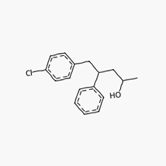 CC(O)CC(Cc1ccc(Cl)cc1)c1ccccc1